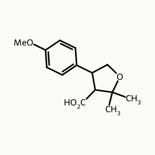 COc1ccc(C2COC(C)(C)C2C(=O)O)cc1